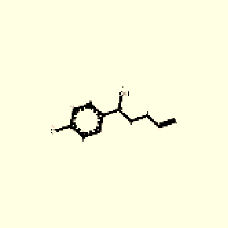 C=CCCC(O)c1ccc(Cl)cc1